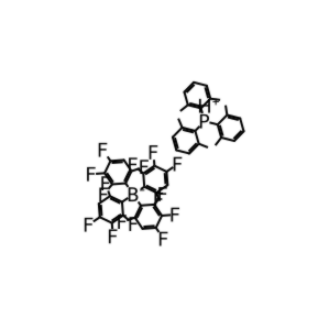 Cc1cccc(C)c1[PH+](c1c(C)cccc1C)c1c(C)cccc1C.Fc1cc(F)c([B-](c2c(F)cc(F)c(F)c2F)(c2c(F)cc(F)c(F)c2F)c2c(F)cc(F)c(F)c2F)c(F)c1F